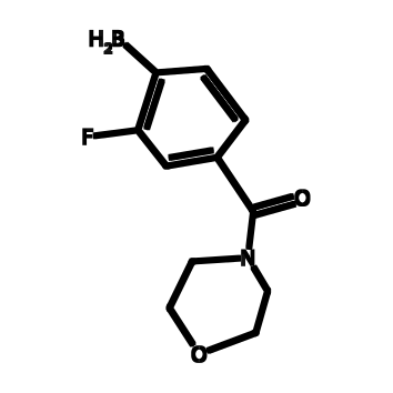 Bc1ccc(C(=O)N2CCOCC2)cc1F